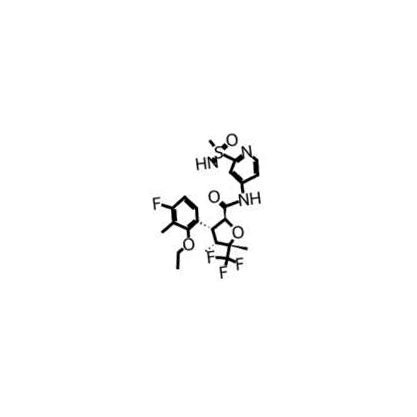 CCOc1c([C@@H]2[C@@H](C(=O)Nc3ccnc(S(C)(=N)=O)c3)O[C@](C)(C(F)(F)F)[C@@H]2C)ccc(F)c1C